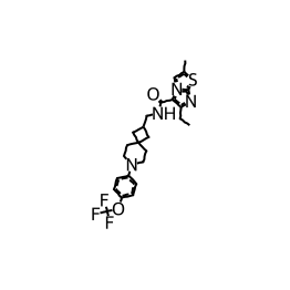 CCc1nc2sc(C)cn2c1C(=O)NCC1CC2(CCN(c3ccc(OC(F)(F)F)cc3)CC2)C1